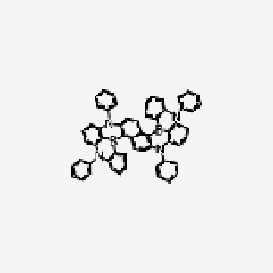 c1ccc(N2c3ccccc3B3c4c2cccc4N(c2ccccc2)c2ccc4c5c(ccc4c23)N(c2ccccc2)c2cccc3c2B5c2ccccc2N3c2ccccc2)cc1